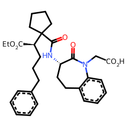 CCOC(=O)[C@H](CCCc1ccccc1)C1(C(=O)N[C@H]2CCc3ccccc3N(CC(=O)O)C2=O)CCCC1